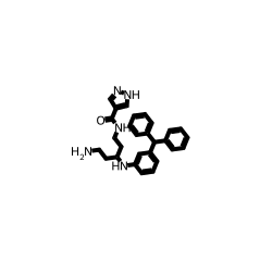 NCCC(CCNC(=O)c1cn[nH]c1)Nc1cccc(C(c2ccccc2)c2ccccc2)c1